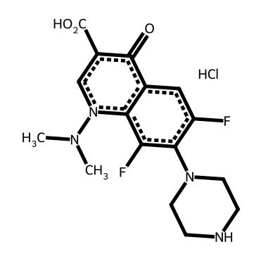 CN(C)n1cc(C(=O)O)c(=O)c2cc(F)c(N3CCNCC3)c(F)c21.Cl